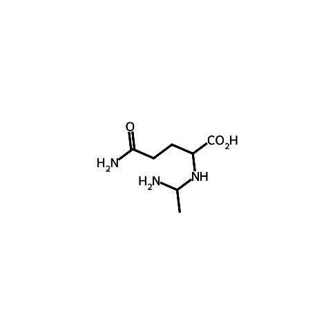 CC(N)NC(CCC(N)=O)C(=O)O